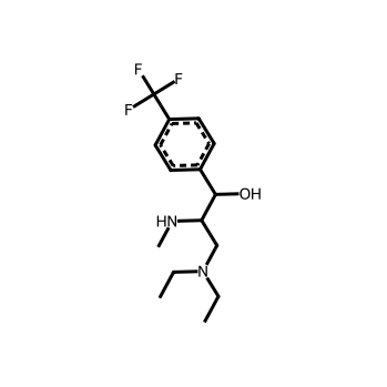 CCN(CC)CC(NC)C(O)c1ccc(C(F)(F)F)cc1